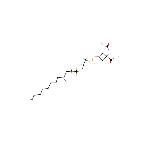 COC(=O)C1(NC(=O)OC(C)(C)C)CC(OS(=O)(=O)C(F)(F)C(F)(F)OC(F)(F)C(F)(F)CC(I)CCCCCCCCC(=O)O)C1